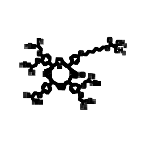 C=C(C)C(=O)OCCCCCCOc1ccc(-c2c3nc(c(-c4ccc(OCC(CC)CCCC)c(OCC(CC)CCCC)c4)c4ccc([nH]4)c(-c4ccc(OCC(CC)CCCC)cc4)c4nc(c(-c5ccc(OCC(CC)CCCC)c(OCC(CC)CCCC)c5)c5ccc2n5C=O)C=C4)C=C3)cc1